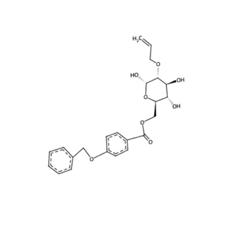 C=CCO[C@@H]1[C@@H](O)[C@H](O)[C@@H](COC(=O)c2ccc(OCc3ccccc3)cc2)O[C@@H]1O